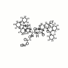 CC(C)(C)OC(=O)CON=C(C(=O)NC1C(=O)N2C(C(=O)OC(c3ccccc3)c3ccccc3)=C(C=CC(F)(F)F)CS[C@@H]12)c1csc(NC(c2ccccc2)(c2ccccc2)c2ccccc2)n1